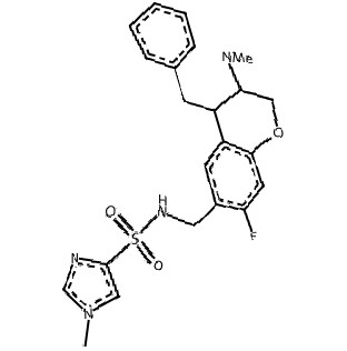 CNC1COc2cc(F)c(CNS(=O)(=O)c3cn(C)cn3)cc2C1Cc1ccccc1